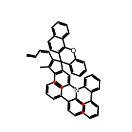 C=C/C=C\C1=C(C)c2ccc(N(c3ccccc3-c3ccccc3)c3ccccc3-c3ccccc3)cc2C12c1ccccc1Oc1c2ccc2ccccc12